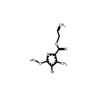 C=CCOC(=O)c1sc(OCCC)c(Br)c1C